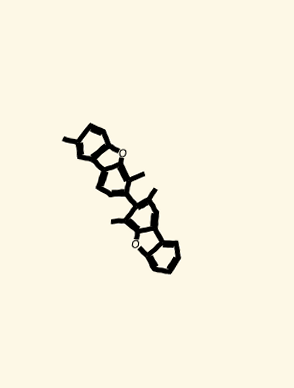 Cc1ccc2oc3c(C)c(-c4c(C)cc5c(oc6ccccc65)c4C)ccc3c2c1